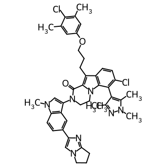 Cc1cc(OCCCc2c3n(c4c(-c5c(C)nn(C)c5C)c(Cl)ccc24)[C@H](C)CN(c2cn(C)c4ccc(-c5cn6c(n5)CCC6)cc24)C3=O)cc(C)c1Cl